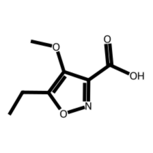 CCc1onc(C(=O)O)c1OC